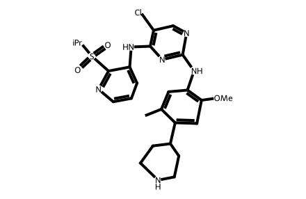 COc1cc(C2CCNCC2)c(C)cc1Nc1ncc(Cl)c(Nc2cccnc2S(=O)(=O)C(C)C)n1